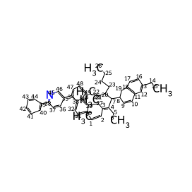 C/C=C\C(=C(/CC)C(C1C=Cc2cc(CC)ccc2C1)C(CC)CCCC)C(C)c1cccc2c(-c3ccc(-c4ccccc4)nc3)cccc12